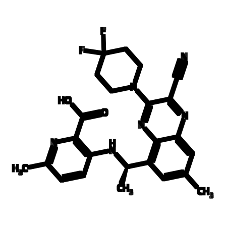 Cc1cc([C@@H](C)Nc2ccc(C)nc2C(=O)O)c2nc(N3CCC(F)(F)CC3)c(C#N)nc2c1